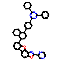 c1ccc(-c2nc(-c3ccccc3)nc(-c3ccc(-c4ccc(-c5cccc6c5oc5c6ccc6oc(-c7cnccn7)nc65)c5ccccc45)cc3)n2)cc1